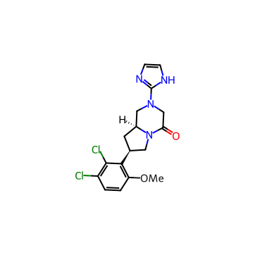 COc1ccc(Cl)c(Cl)c1[C@H]1C[C@H]2CN(c3ncc[nH]3)CC(=O)N2C1